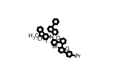 CC(C)c1ccc2c(c1)oc1c(-c3cccc4oc5c(N(c6ccc7c(c6)-c6ccccc6C7(C)C)c6cccc7c(-c8ccccc8)cccc67)cccc5c34)c(Br)ccc12